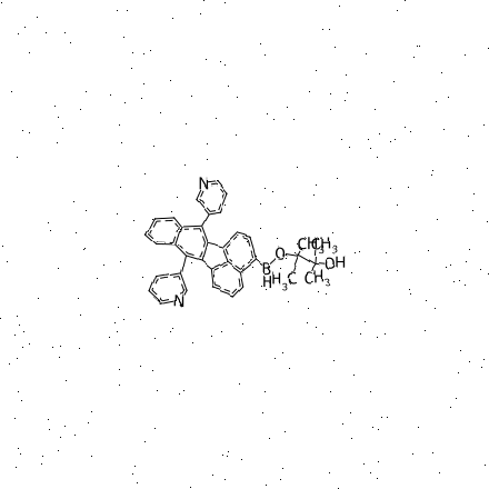 CC(C)(O)C(C)(C)OBc1ccc2c3c(cccc13)-c1c-2c(-c2cccnc2)c2ccccc2c1-c1cccnc1